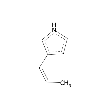 C/C=C\c1cc[nH]c1